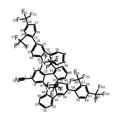 N#Cc1cc(-n2c3ccccc3c3cc(-c4ccc(C(F)(F)F)cc4C(F)(F)F)ccc32)c(-c2c(C(F)(F)F)cccc2C(F)(F)F)c(-n2c3ccccc3c3cc(-c4ccc(C(F)(F)F)cc4C(F)(F)F)ccc32)c1